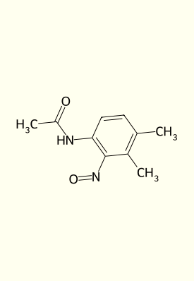 CC(=O)Nc1ccc(C)c(C)c1N=O